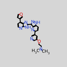 CN(C)CCOc1cncc(-c2ccc3[nH]nc(-c4nc5c(-c6ccoc6)ccnc5[nH]4)c3n2)c1